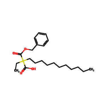 CCCCCCCCCCCS(CC)(C(=O)O)C(=O)OCc1ccccc1